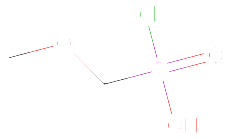 COCP(=O)(O)Cl